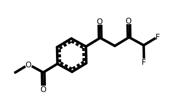 COC(=O)c1ccc(C(=O)CC(=O)C(F)F)cc1